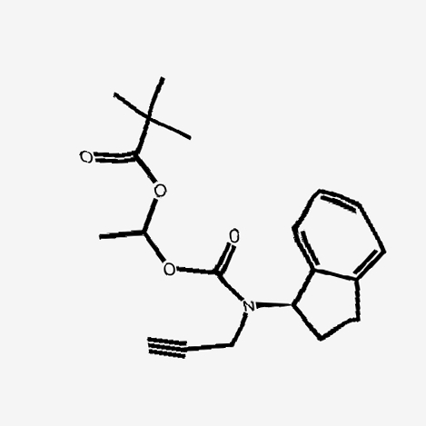 C#CCN(C(=O)OC(C)OC(=O)C(C)(C)C)[C@@H]1CCc2ccccc21